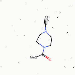 C#CN1CCN(C(=O)OC)CC1